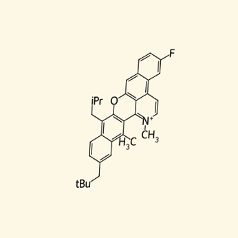 Cc1c2c(c(CC(C)C)c3ccc(CC(C)(C)C)cc13)Oc1cc3ccc(F)cc3c3cc[n+](C)c-2c13